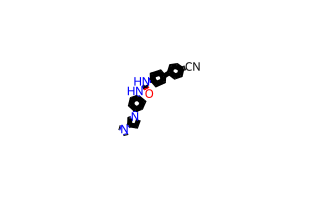 CN(C)C1CCN(c2ccc(NC(=O)Nc3ccc(-c4ccc(C#N)cc4)cc3)cc2)C1